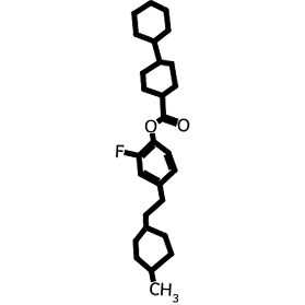 CC1CCC(CCc2ccc(OC(=O)C3CCC(C4CCCCC4)CC3)c(F)c2)CC1